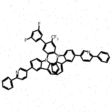 Fc1cc(F)cc(-c2cc(-n3c4ccccc4c4cc(-c5ccc(-c6ccccc6)nc5)ccc43)c(-n3c4ccccc4c4cc(-c5ccc(-c6ccccc6)nc5)ccc43)cc2C(F)(F)F)c1